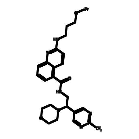 CC(C)OCCCNc1ccc2c(C(=O)NCC(c3cnc(C(F)(F)F)nc3)N3CCOCC3)cccc2n1